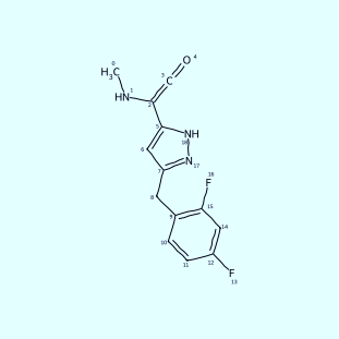 CNC(=C=O)c1cc(Cc2ccc(F)cc2F)n[nH]1